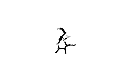 CC/C=C\C#COC(C)C(C)C(NC)OCCC